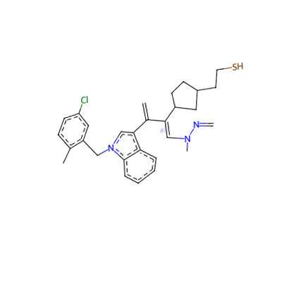 C=NN(C)/C=C(/C(=C)c1cn(Cc2cc(Cl)ccc2C)c2ccccc12)C1CCC(CCS)C1